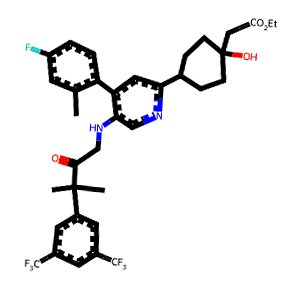 CCOC(=O)CC1(O)CCC(c2cc(-c3ccc(F)cc3C)c(NCC(=O)C(C)(C)c3cc(C(F)(F)F)cc(C(F)(F)F)c3)cn2)CC1